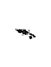 CCCN(CCNc1cc2c(cn1)C(=O)c1c([nH]c3cc(C#N)ccc13)C2(C)C)C1CCC1